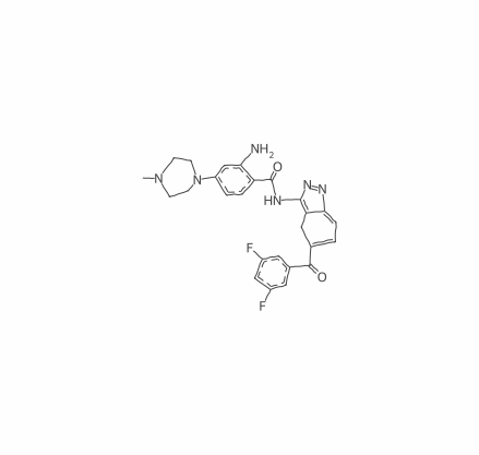 CN1CCN(c2ccc(C(=O)NC3=C4CC(C(=O)c5cc(F)cc(F)c5)=CC=C4N=N3)c(N)c2)CC1